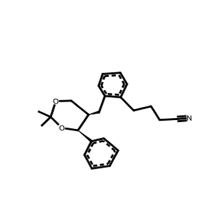 CC1(C)OC[C@@H](Cc2ccccc2CCCC#N)[C@@H](c2ccccc2)O1